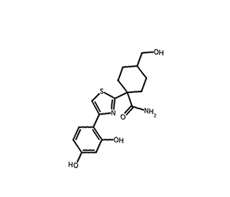 NC(=O)C1(c2nc(-c3ccc(O)cc3O)cs2)CCC(CO)CC1